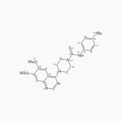 COc1cc2ncnc(N3CCN(C(=S)Nc4ccc(C(C)(C)C)cc4)CC3)c2cc1OC